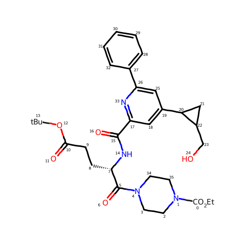 CCOC(=O)N1CCN(C(=O)[C@H](CCC(=O)OC(C)(C)C)NC(=O)c2cc(C3CC3CO)cc(-c3ccccc3)n2)CC1